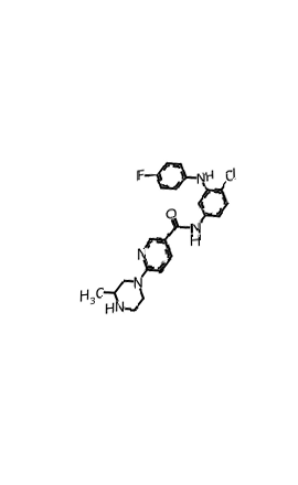 CC1CN(c2ccc(C(=O)Nc3ccc(Cl)c(Nc4ccc(F)cc4)c3)cn2)CCN1